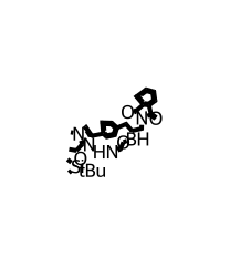 CC(O[Si](C)(C)C(C)(C)C)c1nc(-c2ccc(CC(BOC=N)CN3C(=O)c4ccccc4C3=O)cc2)cn1C